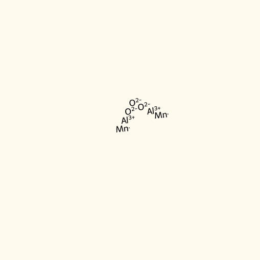 [Al+3].[Al+3].[Mn].[Mn].[O-2].[O-2].[O-2]